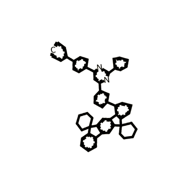 c1ccc(-c2ccc(-c3cc(-c4cccc(-c5cccc6c5-c5cc7c(cc5C65CCCCC5)-c5ccccc5C75CCCCC5)c4)nc(-c4ccccc4)n3)cc2)cc1